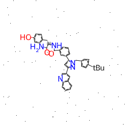 CC(C)(C)c1ccc(Cn2nc(-c3cnc4ccccc4c3)cc2-c2cccc(C(=O)N[C@@H](Cc3ccc(O)cc3)C(N)=O)c2)cc1